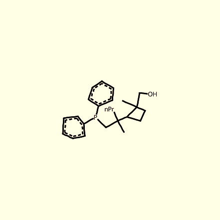 CCCC(C)(CP(c1ccccc1)c1ccccc1)C1CCC1(C)CO